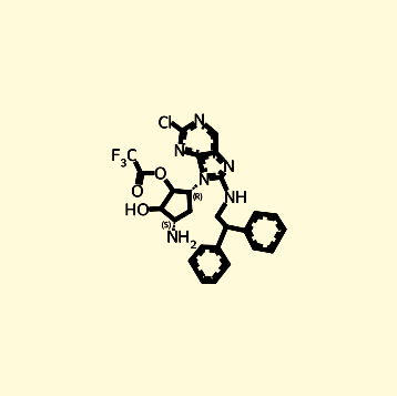 N[C@H]1C[C@@H](n2c(NCC(c3ccccc3)c3ccccc3)nc3cnc(Cl)nc32)C(OC(=O)C(F)(F)F)C1O